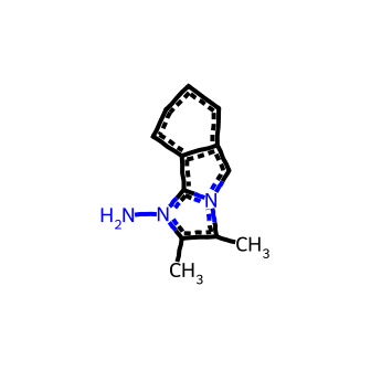 Cc1c(C)n2cc3ccccc3c2n1N